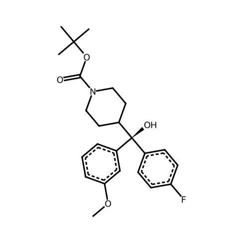 COc1cccc([C@@](O)(c2ccc(F)cc2)C2CCN(C(=O)OC(C)(C)C)CC2)c1